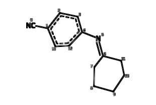 N#Cc1ccc(N=C2CCCCC2)cc1